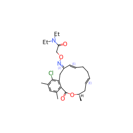 CCN(CC)C(=O)CO/N=C1\C=C\CC/C=C/C[C@@H](C)OC(=O)c2c(C)cc(C)c(Cl)c2C1